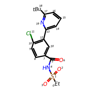 CCS(=O)(=O)NC(=O)c1ccc(Cl)c(-c2cccc(C(C)(C)C)n2)c1